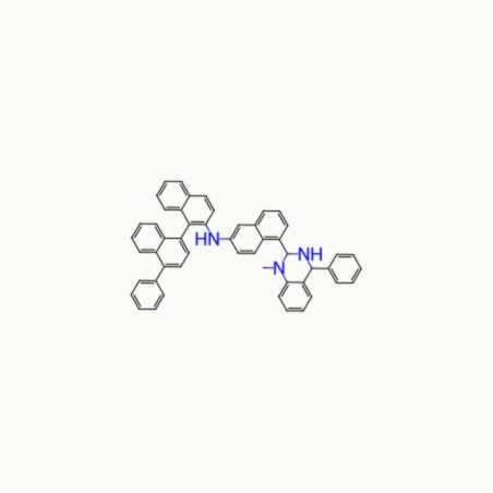 CN1c2ccccc2C(c2ccccc2)NC1c1cccc2cc(Nc3ccc4ccccc4c3-c3ccc(-c4ccccc4)c4ccccc34)ccc12